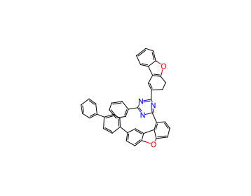 C1=C(c2nc(-c3ccccc3)nc(-c3cccc4oc5ccc(-c6ccc(-c7ccccc7)cc6)cc5c34)n2)CCc2oc3ccccc3c21